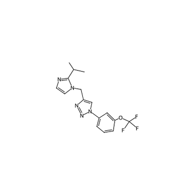 CC(C)c1nccn1Cc1cn(-c2cccc(OC(F)(F)F)c2)nn1